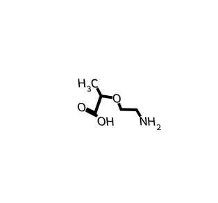 CC(OCCN)C(=O)O